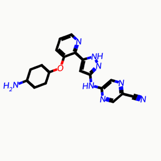 N#Cc1cnc(Nc2cc(-c3ncccc3OC3CCC(N)CC3)[nH]n2)cn1